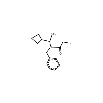 CC(C1CCC1)N(Cc1ccccc1)C(=O)CBr